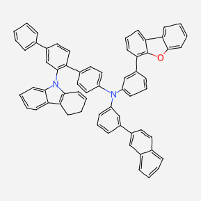 C1=Cc2c(c3ccccc3n2-c2cc(-c3ccccc3)ccc2-c2ccc(N(c3cccc(-c4ccc5ccccc5c4)c3)c3cccc(-c4cccc5c4oc4ccccc45)c3)cc2)CC1